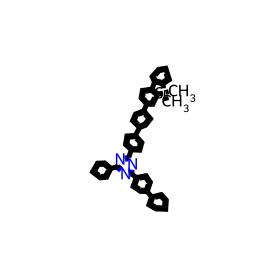 C[Si]1(C)c2ccccc2-c2ccc(-c3ccc(-c4ccc(-c5nc(-c6ccccc6)nc(-c6ccc(-c7ccccc7)cc6)n5)cc4)cc3)cc21